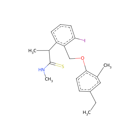 CCc1ccc(OCc2c(I)cccc2C(C)C(=S)NC)c(C)c1